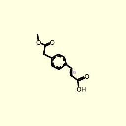 COC(=O)Cc1ccc(/C=C/C(=O)O)cc1